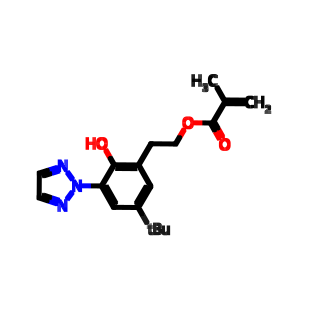 C=C(C)C(=O)OCCc1cc(C(C)(C)C)cc(-n2nccn2)c1O